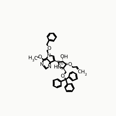 C=CCO[C@H]1[C@@H](O)[C@H](c2cn(COCc3ccccc3)c3c(OC)ncnc23)N[C@@H]1COC(c1ccccc1)(c1ccccc1)c1ccccc1